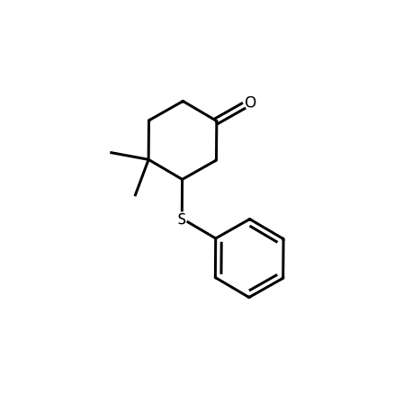 CC1(C)CCC(=O)CC1Sc1ccccc1